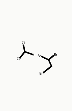 BrCC(Br)Br.ClC(Cl)I